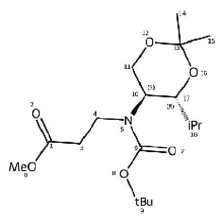 COC(=O)CCN(C(=O)OC(C)(C)C)[C@H]1COC(C)(C)O[C@@H]1C(C)C